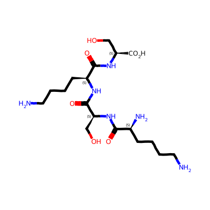 NCCCC[C@H](NC(=O)[C@H](CO)NC(=O)[C@@H](N)CCCCN)C(=O)N[C@@H](CO)C(=O)O